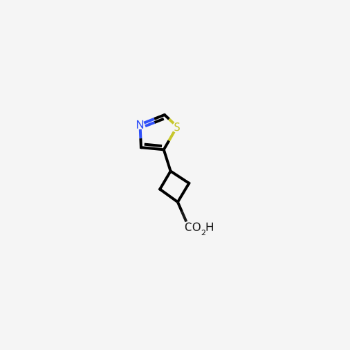 O=C(O)C1CC(c2cncs2)C1